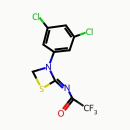 O=C(N=C1SCN1c1cc(Cl)cc(Cl)c1)C(F)(F)F